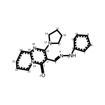 O=c1c(/C=N/Nc2ccccc2)c(N2CCCC2)nc2ccccn12